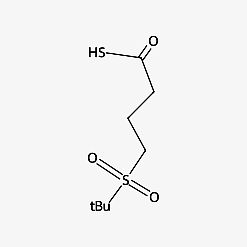 CC(C)(C)S(=O)(=O)CCCC(=O)S